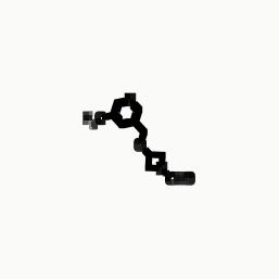 O=CN1CC(OCc2cncc(C(F)(F)F)c2)C1